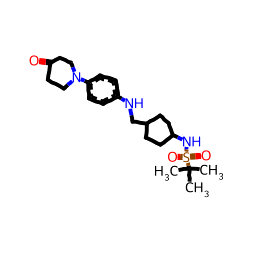 CC(C)(C)S(=O)(=O)NC1CCC(CNc2ccc(N3CCC(=O)CC3)cc2)CC1